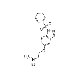 CCN(C)CCOc1ccc2c(cnn2S(=O)(=O)c2ccccc2)c1